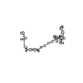 Cc1ncsc1-c1ccc(CNC(=O)[C@@H]2C[C@@H](O)CN2C(=O)[C@@H](NC(=O)CCOCCOCCOCCOCCC(=O)N2CCN(c3ccc(C(=O)N4CCC(CCCCNC(=O)/C=C/c5cccnc5)CC4)cc3)CC2)C(C)(C)C)cc1